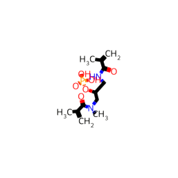 C=C(C)C(=O)NCC(CN(C)C(=O)C(=C)C)OP(=O)(O)O